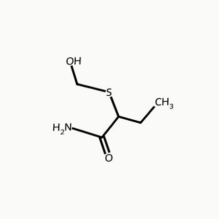 CCC(SCO)C(N)=O